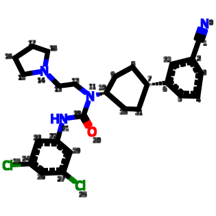 N#Cc1cccc([C@H]2CC[C@@H](N(CCN3CCCC3)C(=O)Nc3cc(Cl)cc(Cl)c3)CC2)c1